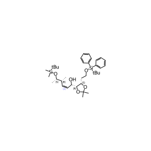 C[C@H](/C=C\C(O)[C@H]1OC(C)(C)O[C@H]1CCO[Si](c1ccccc1)(c1ccccc1)C(C)(C)C)[C@H](C)O[Si](C)(C)C(C)(C)C